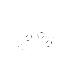 O=C(O)c1ccccc1Nc1ccc(Nc2ccc(C34CC5CC6CC(C3)C64C5)cc2)cc1C(F)(F)F